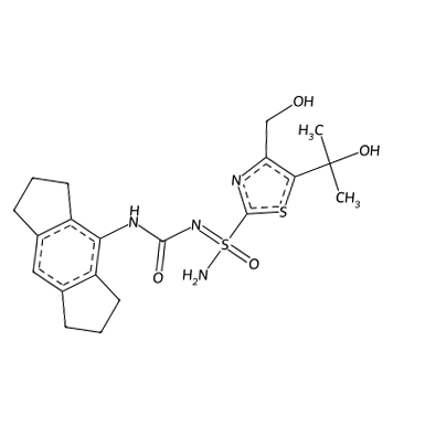 CC(C)(O)c1sc(S(N)(=O)=NC(=O)Nc2c3c(cc4c2CCC4)CCC3)nc1CO